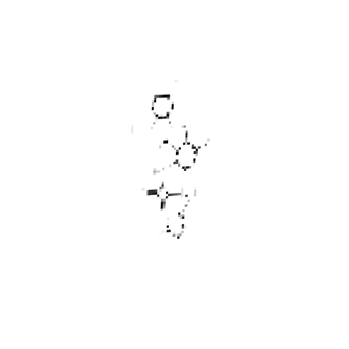 Cc1ccc([C@H](Nc2c(Nc3ccc(F)c4c3C(=O)N(c3cc(F)ccc3CO)C4)c(=O)c2=O)C(C)(C)C)o1